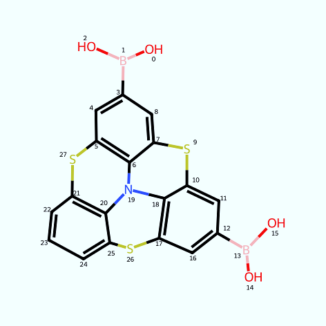 OB(O)c1cc2c3c(c1)Sc1cc(B(O)O)cc4c1N3c1c(cccc1S4)S2